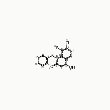 O=c1cc(O)c2cnc(Cl)c(F)c2n1Cc1ccccc1